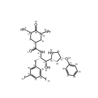 CCCN1CC(C(=O)N[C@@H](Cc2cc(F)cc(F)c2)[C@H](O)[C@H]2C[C@@H](Oc3ccccc3)CN2)CN(CCC)C1=O